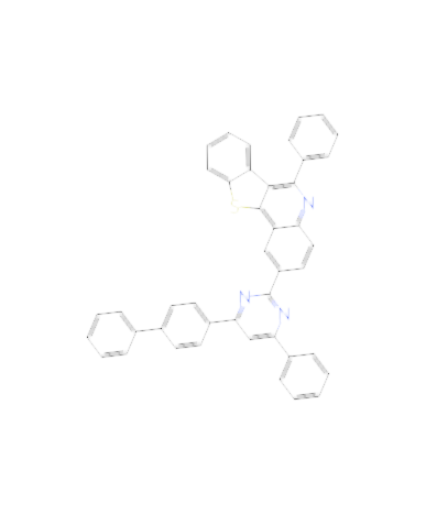 c1ccc(-c2ccc(-c3cc(-c4ccccc4)nc(-c4ccc5nc(-c6ccccc6)c6c7ccccc7sc6c5c4)n3)cc2)cc1